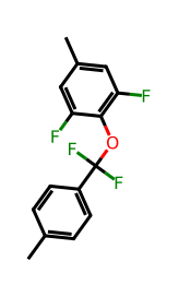 Cc1ccc(C(F)(F)Oc2c(F)cc(C)cc2F)cc1